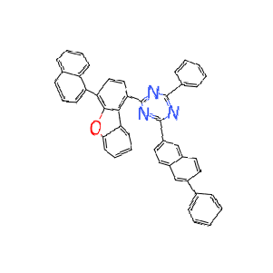 c1ccc(-c2ccc3cc(-c4nc(-c5ccccc5)nc(-c5ccc(-c6cccc7ccccc67)c6oc7ccccc7c56)n4)ccc3c2)cc1